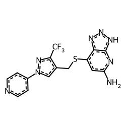 Nc1cc(SCc2cn(-c3ccncc3)nc2C(F)(F)F)c2nn[nH]c2n1